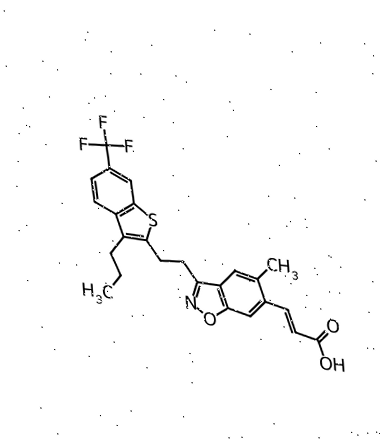 CCCc1c(CCc2noc3cc(C=CC(=O)O)c(C)cc23)sc2cc(C(F)(F)F)ccc12